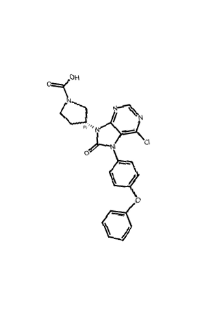 O=C(O)N1CC[C@@H](n2c(=O)n(-c3ccc(Oc4ccccc4)cc3)c3c(Cl)ncnc32)C1